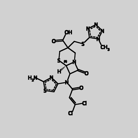 Cn1nnnc1SCC1(C(=O)O)CS[C@@H]2C(N(C(=O)C=C(Cl)Cl)c3csc(N)n3)C(=O)N2C1